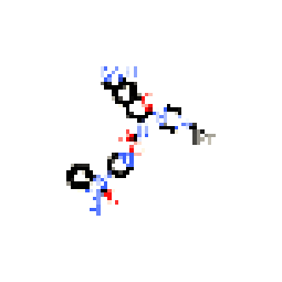 CC(C)CN1CCN(C(=O)C(Cc2ccc3[nH]ncc3c2)NC(=O)ON2CCC(n3c(=O)[nH]c4ccccc43)CC2)CC1